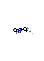 Cc1cc(-c2ccc(-c3ccccc3C)nc2)ccc1F